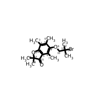 Cc1c(C)c2c(c(C)c1OCC(C)(C)Br)C(=O)C(C)(C)O2